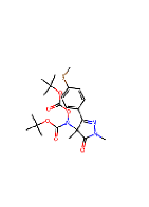 CSc1ccc(C2=NN(C)C(=O)C2(C)N(OC(=O)OC(C)(C)C)C(=O)OC(C)(C)C)cc1